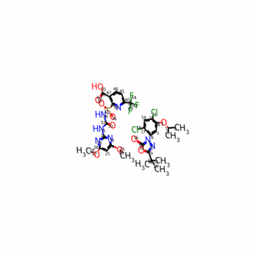 CC(C)Oc1cc(-n2nc(C(C)(C)C)oc2=O)c(Cl)cc1Cl.COc1cc(OC)nc(NC(=O)NS(=O)(=O)c2nc(C(F)(F)F)ccc2C(=O)O)n1